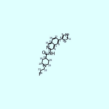 O=C(Nc1cc2cc(-c3cncs3)ccc2cn1)C1CCN(CCF)CC1